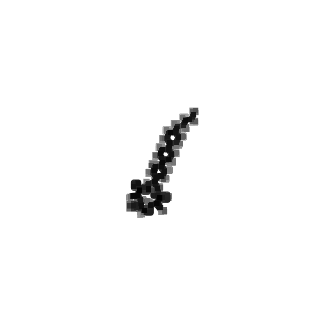 C=C(CO)C(=O)OCC(COC(=O)C(=C)COC)c1ccc(C2=CCC(C3CCC(CCCCC)CC3)CC2)cc1